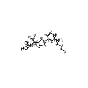 CCCCNc1cc(N2CCC([C@H](NC(=O)O)[C](C)C)C2)ccn1